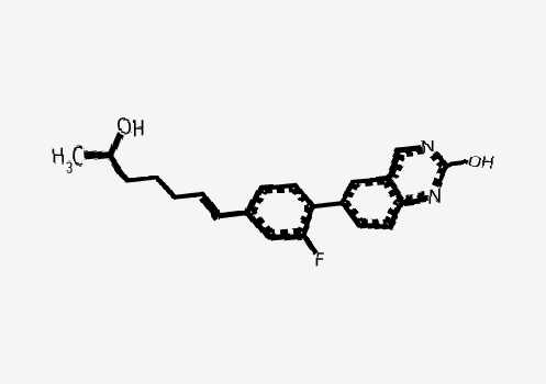 CC(O)CCCC=Cc1ccc(-c2ccc3nc(O)ncc3c2)c(F)c1